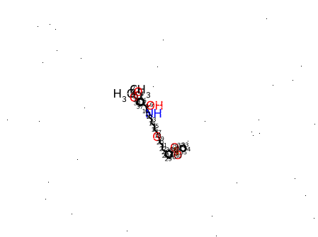 CC1(C)OCc2cc(C(O)CNCCCCCCOCCCCc3cccc(S(=O)(=O)C4CC=CC4)c3)ccc2O1